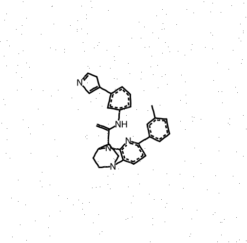 C=C(Nc1cccc(C2=CN=CC2)c1)N1c2nc(-c3cccc(C)c3)ccc2N2CCC1CC2